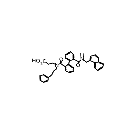 O=C(O)CCN(CCCc1ccccc1)C(=O)c1ccccc1-c1ccccc1C(=O)NCc1cccc2ccccc12